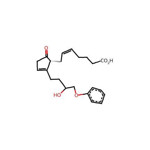 O=C(O)CCC/C=C\C[C@H]1C(=O)CC=C1CCC(O)COc1ccccc1